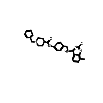 Cc1cccc2c(NCc3ccc(NC(=O)C4CCN(Cc5ccccc5)CC4)cc3)nc(Cl)nc12